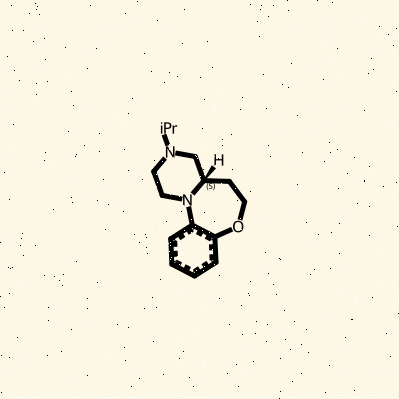 CC(C)N1CCN2c3ccccc3OCC[C@H]2C1